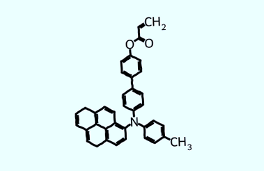 C=CC(=O)Oc1ccc(-c2ccc(N(c3ccc(C)cc3)c3ccc4c5c6c(ccc35)CC=CC6=CC4)cc2)cc1